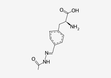 CC(=O)N/N=C/c1ccc(C[C@H](N)C(=O)O)cc1